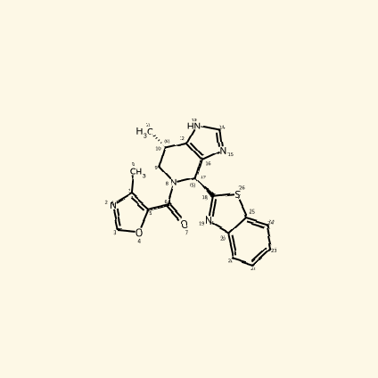 Cc1ncoc1C(=O)N1C[C@H](C)c2[nH]cnc2[C@H]1c1nc2ccccc2s1